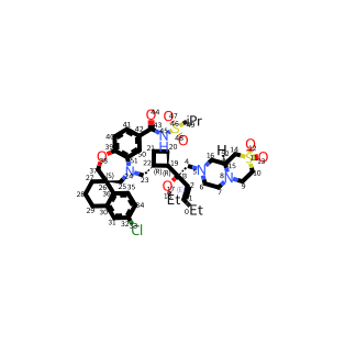 CC/C=C/[C@@](CN1CCN2CCS(=O)(=O)C[C@@H]2C1)(OCC)[C@@H]1CC[C@H]1CN1C[C@@]2(CCCc3cc(Cl)ccc32)COc2ccc(C(=O)NS(=O)(=O)C(C)C)cc21